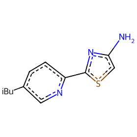 CCC(C)c1ccc(-c2nc(N)cs2)nc1